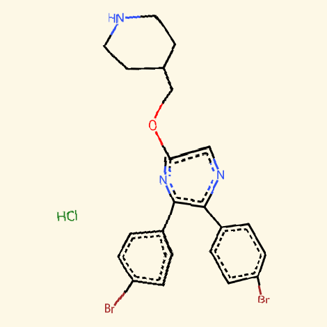 Brc1ccc(-c2ncc(OCC3CCNCC3)nc2-c2ccc(Br)cc2)cc1.Cl